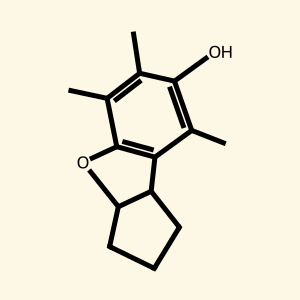 Cc1c(C)c2c(c(C)c1O)C1CCCC1O2